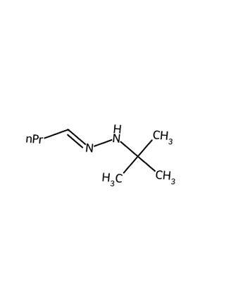 CCCC=NNC(C)(C)C